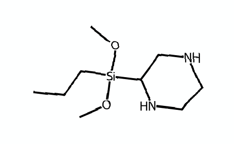 CCC[Si](OC)(OC)C1CNCCN1